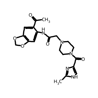 CC(=O)c1cc2c(cc1NC(=O)CN1CCN(C(=O)c3c[nH]c(C)n3)CC1)OCO2